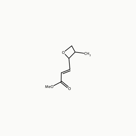 COC(=O)C=CC1OCC1C